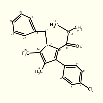 Cc1c(-c2ccc(Cl)cc2)c(C(=O)N(C)C)n(Cc2ccccc2)c1C(F)(F)F